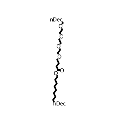 CCCCCCCCCCCCCCCCCCOC(=O)CCCOCCOCCOCCOCCCCCCCCCCC